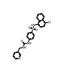 O=C(NCc1cccnc1)Nc1ccc(S(=O)(=O)Nc2ccc(Cl)c3ccccc23)cc1